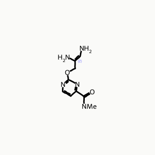 CNC(=O)c1ccnc(OC/C(N)=C/N)n1